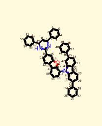 C1=C(c2ccccc2)N=C(c2ccc3c(c2)oc2c(-n4c5cc(-c6ccccc6)ccc5c5ccc(-c6ccccc6)cc54)cccc23)NC1c1ccccc1